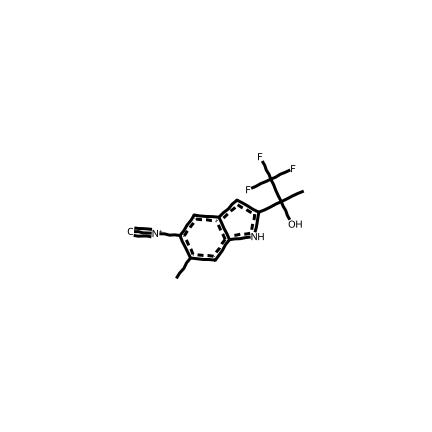 [C-]#[N+]c1cc2cc(C(C)(O)C(F)(F)F)[nH]c2cc1C